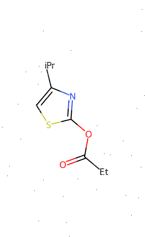 CCC(=O)Oc1nc(C(C)C)cs1